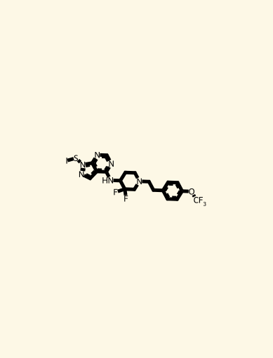 FC(F)(F)Oc1ccc(CCN2CCC(Nc3ncnc4c3cnn4SI)C(F)(F)C2)cc1